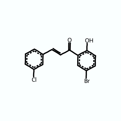 O=C(C=Cc1cccc(Cl)c1)c1cc(Br)ccc1O